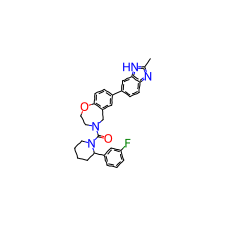 Cc1nc2ccc(-c3ccc4c(c3)CN(C(=O)N3CCCCC3c3cccc(F)c3)CCO4)cc2[nH]1